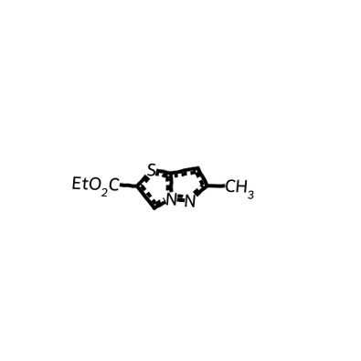 CCOC(=O)c1cn2nc(C)cc2s1